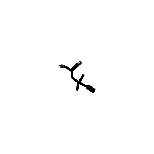 C#CC(C)(C)CC(=O)CCCC